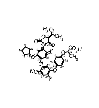 CC(C)=C1OC(=O)N(c2cc(OC3CCCC3)c(Cl)cc2F)C1=O.C[C@@H](Oc1ccc(Oc2ccc(C#N)cc2F)cc1)C(=O)O